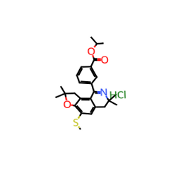 CSc1cc2c(c3c1OC(C)(C)C3)C(c1cccc(C(=O)OC(C)C)c1)=NC(C)(C)C2.Cl